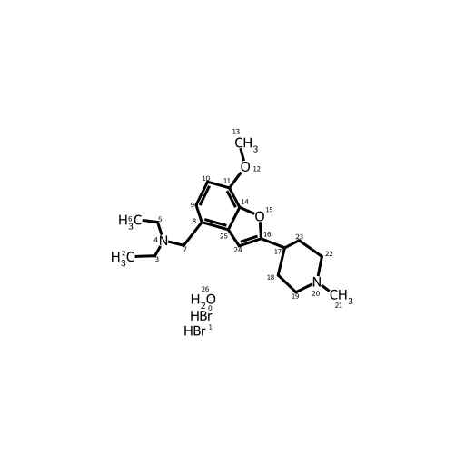 Br.Br.CCN(CC)Cc1ccc(OC)c2oc(C3CCN(C)CC3)cc12.O